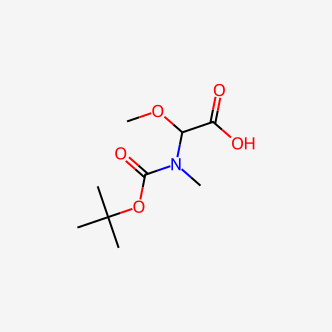 COC(C(=O)O)N(C)C(=O)OC(C)(C)C